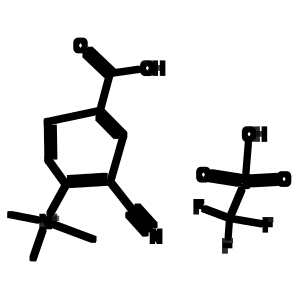 C[N+](C)(C)c1ccc(C(=O)O)cc1C#N.O=S(=O)(O)C(F)(F)F